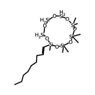 CCCCCCCC=C[Si]1(C)O[SiH2]O[SiH2]O[SiH2]O[Si](C)(C)O[Si](C)(C)O[Si](C)(C)O1